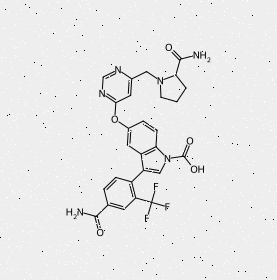 NC(=O)c1ccc(-c2cn(C(=O)O)c3ccc(Oc4cc(CN5CCCC5C(N)=O)ncn4)cc23)c(C(F)(F)F)c1